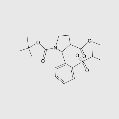 COC(=O)C1CCN(C(=O)OC(C)(C)C)C1c1ccccc1S(=O)(=O)C(C)C